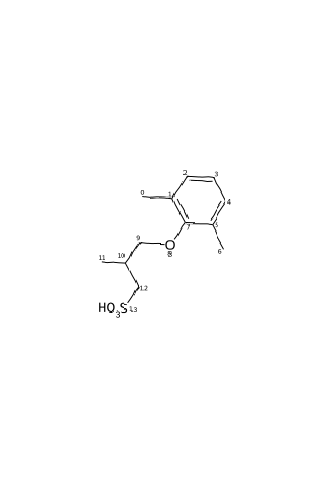 Cc1cccc(C)c1OCC(C)CS(=O)(=O)O